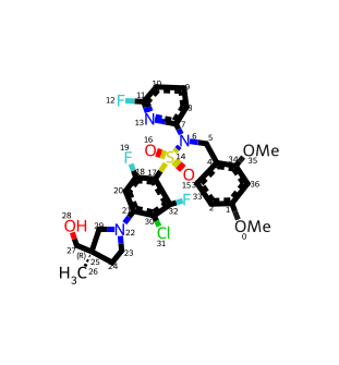 COc1ccc(CN(c2cccc(F)n2)S(=O)(=O)c2c(F)cc(N3CC[C@@](C)(CO)C3)c(Cl)c2F)c(OC)c1